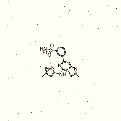 CCNS(=O)(=O)c1cccc(-c2cc3nc(C)cn3c(Nc3cc(C)[nH]n3)n2)c1